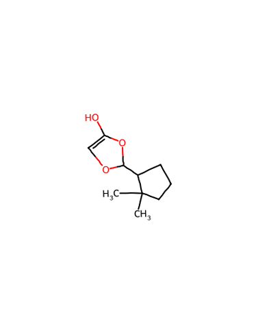 CC1(C)CCCC1C1OC=C(O)O1